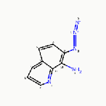 [N-]=[N+]=Nc1ccc2cccnc2c1N